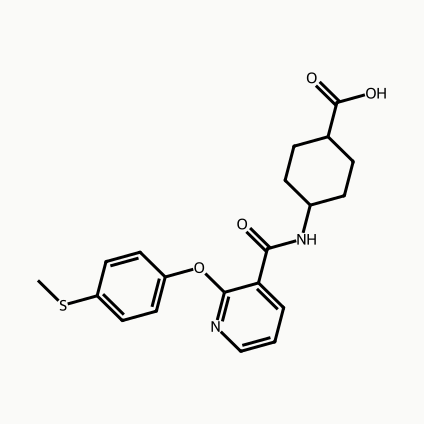 CSc1ccc(Oc2ncccc2C(=O)NC2CCC(C(=O)O)CC2)cc1